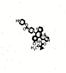 COC1(C(=O)N[C@H](C2=Cc3cccnc3[C@@H](N3CCN(C(=O)OC4CCNCC4)CC3)c3ccc(Cl)cc32)C2CN=CN2C)CC1